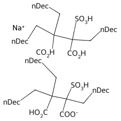 CCCCCCCCCCCC(CCCCCCCCCCC)(C(=O)O)C(CCCCCCCCCCC)(C(=O)O)S(=O)(=O)O.CCCCCCCCCCCC(CCCCCCCCCCC)(C(=O)O)C(CCCCCCCCCCC)(C(=O)[O-])S(=O)(=O)O.[Na+]